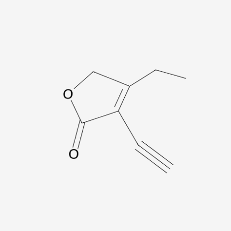 C#CC1=C(CC)COC1=O